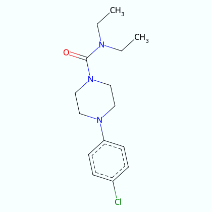 CCN(CC)C(=O)N1CCN(c2ccc(Cl)cc2)CC1